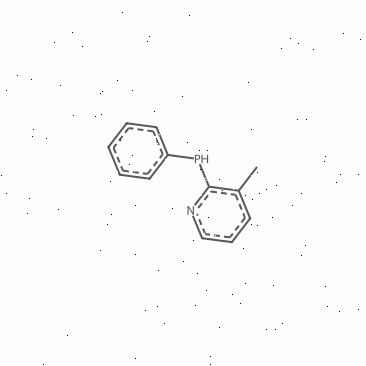 Cc1cccnc1Pc1ccccc1